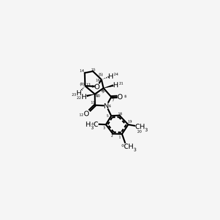 Cc1cc(C)c(N2C(=O)[C@@H]3[C@H](C2=O)[C@H]2CC[C@@H]3O2)cc1C